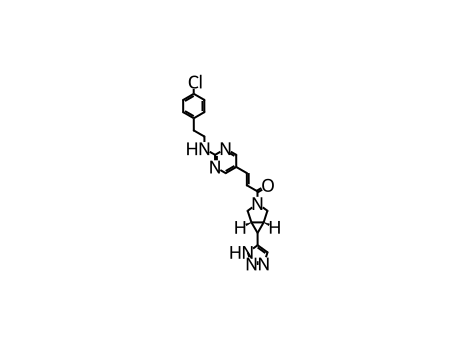 O=C(/C=C/c1cnc(NCCc2ccc(Cl)cc2)nc1)N1C[C@@H]2C(c3cnn[nH]3)[C@@H]2C1